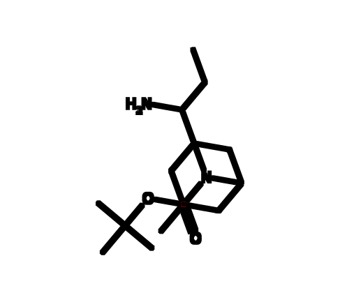 CCC(N)C12CC(C)CC(C1)N2C(=O)OC(C)(C)C